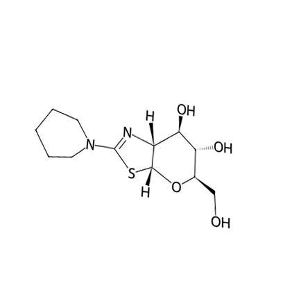 OC[C@H]1O[C@@H]2SC(N3CCCCC3)=N[C@@H]2[C@@H](O)[C@@H]1O